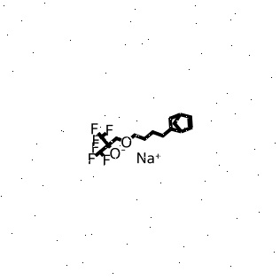 [Na+].[O-]C(COCCCCC1CC2C=CC1C2)(C(F)(F)F)C(F)(F)F